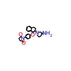 N[C@H]1CCCN([C@H]2CCc3ccccc3[C@@H]2Oc2ccc(N3C(=O)CCC3=O)cc2)C1